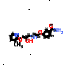 Cc1cccnc1OCC(O)CNCCOc1cccc(C(N)=O)c1